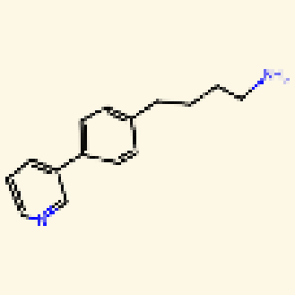 NCCCCc1ccc(-c2cccnc2)cc1